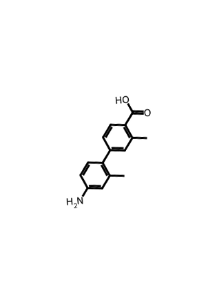 Cc1cc(-c2ccc(N)cc2C)ccc1C(=O)O